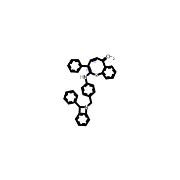 C=C1/C=C\C(c2ccccc2)=C(\Nc2ccc(CN3c4ccccc4C3c3ccccc3)cc2)Sc2ccccc21